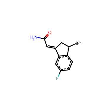 CC(C)C1CC(=CC(N)=O)c2cc(F)ccc21